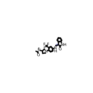 CC(=O)N(C)C1CCN(c2ccc(N/C=C3\C(=O)Nc4ccccc43)cc2C(F)(F)F)C1